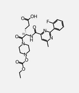 CCOC(=O)ON1CCN(C(=O)[C@H](CCC(=O)O)NC(=O)c2cc(C)nc(-c3ccccc3F)n2)CC1